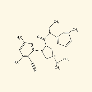 CCN(C(=O)C1C[C@H](N(C)C)CN1c1nc(C)cc(C)c1C#N)c1cccc(C)c1